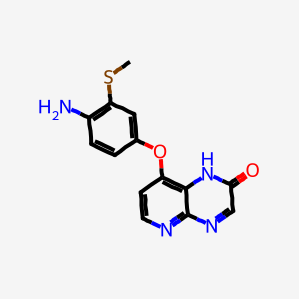 CSc1cc(Oc2ccnc3ncc(=O)[nH]c23)ccc1N